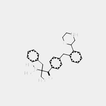 CCC(Cc1ccccc1)(C(=O)c1ccc(Cc2ccccc2C2CNCCO2)cc1)N(C)C